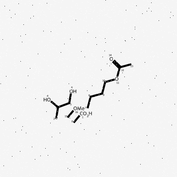 CC(=O)O.CC(O)CO.CCCCOC(C)=O.COC